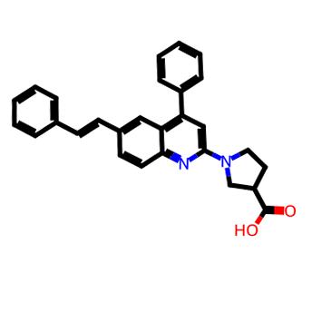 O=C(O)C1CCN(c2cc(-c3ccccc3)c3cc(/C=C/c4ccccc4)ccc3n2)C1